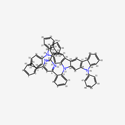 c1ccc(-c2cc(-c3ccccc3-n3c4cc5c(cc4c4cc6c7ccccc7n(-c7ccccc7)c6cc43)c3ccccc3n5-c3ccccc3)nc(-c3ccccc3)n2)cc1